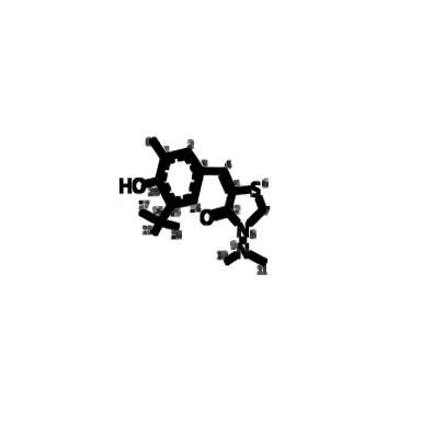 Cc1cc(C=C2SCN(N(C)C)C2=O)cc(C(C)(C)C)c1O